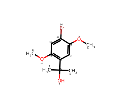 COc1cc(C(C)(C)O)c(OC)cc1Br